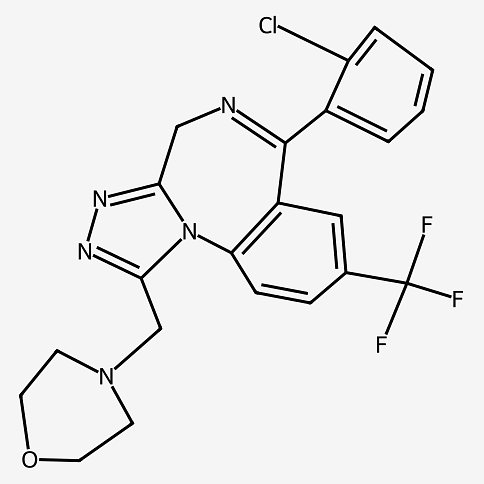 FC(F)(F)c1ccc2c(c1)C(c1ccccc1Cl)=NCc1nnc(CN3CCOCC3)n1-2